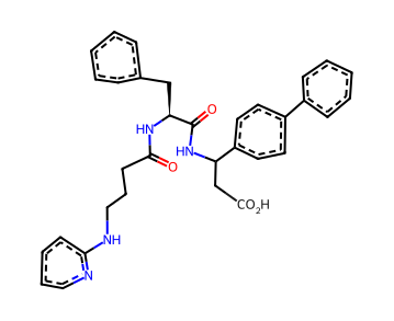 O=C(O)CC(NC(=O)[C@H](Cc1ccccc1)NC(=O)CCCNc1ccccn1)c1ccc(-c2ccccc2)cc1